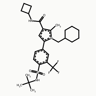 Cc1c(C(=O)NC2CCC2)cc(-c2ccc(S(=O)(=O)NC(C)(C)C)c(C(F)(F)F)c2)n1CC1CCCCC1